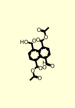 CC(=O)OC(=O)c1ccc(C(=O)O)c2c(C(=O)OC(C)=O)ccc(C(=O)O)c12